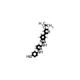 CC(C)Oc1cncc(-c2ccc3nc(Nc4cccc(NC5CCC(O)CC5)n4)sc3c2)c1